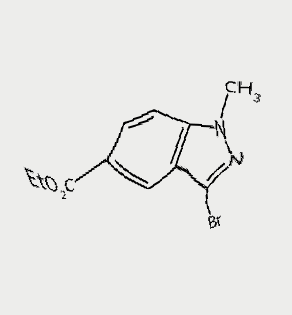 CCOC(=O)c1ccc2c(c1)c(Br)nn2C